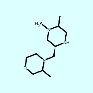 CC1CN[C@@H](CN2CCOCC2C)CN1P